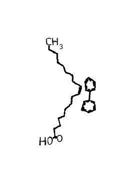 CCCCCCCC/C=C\CCCCCCCC(=O)O.c1ccc(-c2ccccc2)cc1